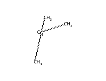 CCCCCCCCCCCCCCCCOC(=O)C(CCCCCCCC)CCCCCCCCCCCCCC